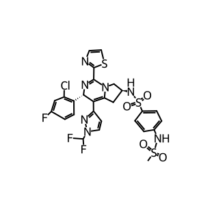 CS(=O)(=O)Nc1ccc(S(=O)(=O)N[C@H]2CC3=C(c4ccn(C(F)F)n4)[C@H](c4ccc(F)cc4Cl)N=C(c4nccs4)N3C2)cc1